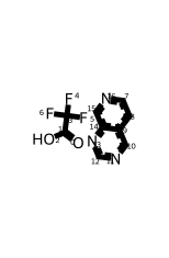 O=C(O)C(F)(F)F.c1cc2cncnc2cn1